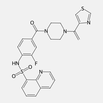 C=C(c1cscn1)N1CCN(C(=O)c2ccc(NS(=O)(=O)c3cccc4cccnc34)c(F)c2)CC1